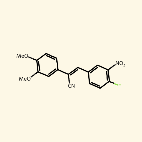 COc1ccc(C(C#N)=Cc2ccc(F)c([N+](=O)[O-])c2)cc1OC